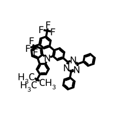 CC(C)(C)c1ccc2c(c1)c1ccccc1n2-c1cc(-c2nc(-c3ccccc3)nc(-c3ccccc3)n2)ccc1-c1cc(C(F)(F)F)cc(C(F)(F)F)c1